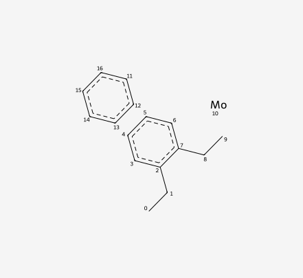 CCc1ccccc1CC.[Mo].c1ccccc1